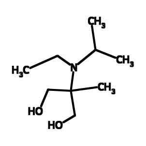 CCN(C(C)C)C(C)(CO)CO